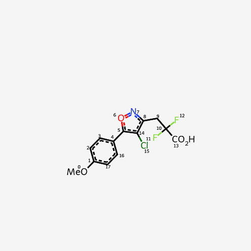 COc1ccc(-c2onc(CC(F)(F)C(=O)O)c2Cl)cc1